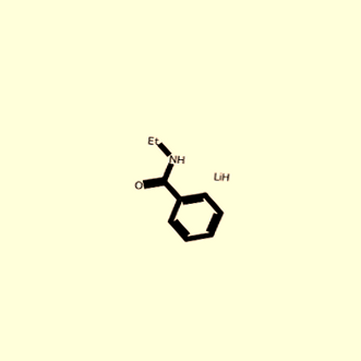 CCNC(=O)c1ccccc1.[LiH]